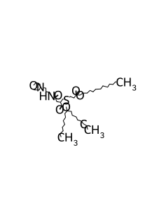 CCCCCCCCCCCCOC(=O)CCSCC(CC(=O)NCCCN1CCOCC1)C(=O)OC(CCCCCCCC)CCCCCCCC